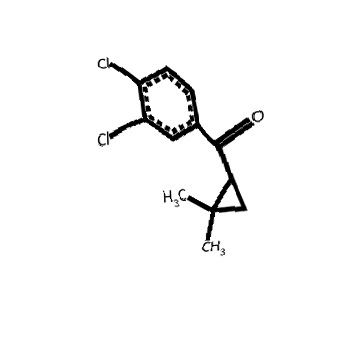 CC1(C)CC1C(=O)c1ccc(Cl)c(Cl)c1